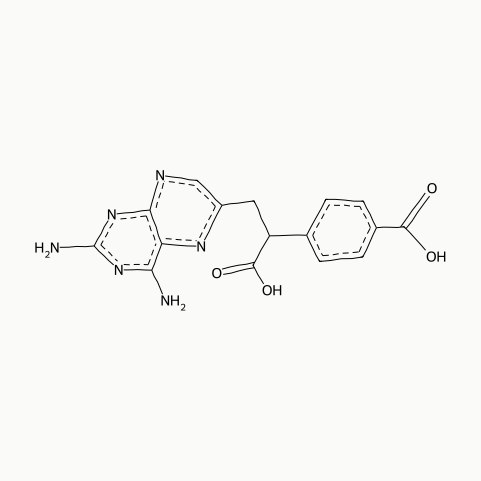 Nc1nc(N)c2nc(CC(C(=O)O)c3ccc(C(=O)O)cc3)cnc2n1